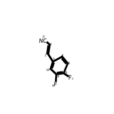 N#CC=Cc1ccc(F)c(F)c1